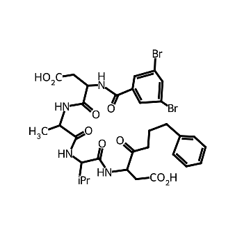 CC(NC(=O)C(CC(=O)O)NC(=O)c1cc(Br)cc(Br)c1)C(=O)NC(C(=O)NC(CC(=O)O)C(=O)CCCc1ccccc1)C(C)C